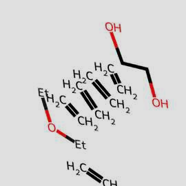 C=C.C=C.C=C.C=C.C=C.CCOCC.OCCO